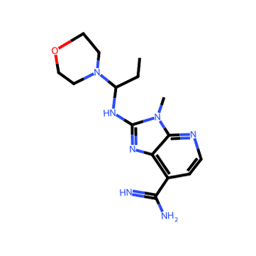 CCC(Nc1nc2c(C(=N)N)ccnc2n1C)N1CCOCC1